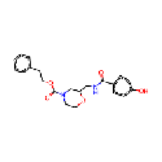 O=C(NCC1CN(C(=O)OCCc2ccccc2)CCO1)c1ccc(O)cc1